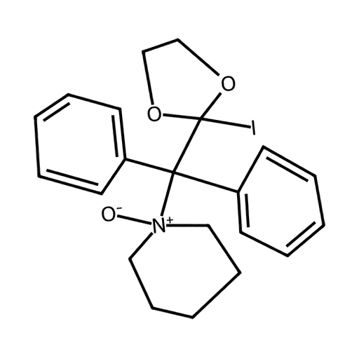 [O-][N+]1(C(c2ccccc2)(c2ccccc2)C2(I)OCCO2)CCCCC1